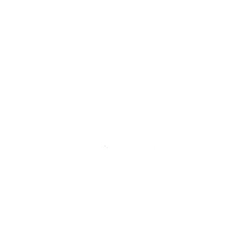 Cc1cccc(N(c2cccc(C)c2)c2cccc3c2sc2c4c(ccc23)C2(c3ccsc3-c3sccc32)c2ccc3c5c(ccc-4c25)CC3)c1